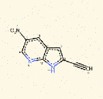 C#Cc1cc2cc([N+](=O)[O-])cnc2[nH]1